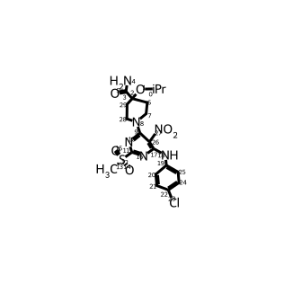 CC(C)OC1(C(N)=O)CCN(c2nc(S(C)(=O)=O)nc(Nc3ccc(Cl)cc3)c2[N+](=O)[O-])CC1